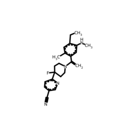 C=C(c1cc(NC)c(CC)cc1C)N1CCC(F)(c2ccc(C#N)cn2)CC1